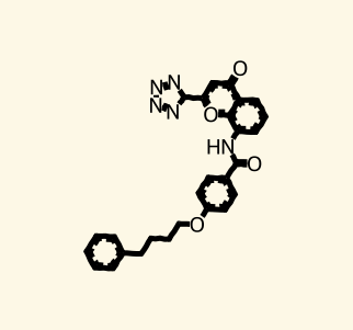 O=C(Nc1cccc2c(=O)cc(C3N=NN=N3)oc12)c1ccc(OCCCCc2ccccc2)cc1